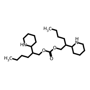 CCCCC(COC(=O)OCC(CCCC)C1CCCCN1)C1CCCCN1